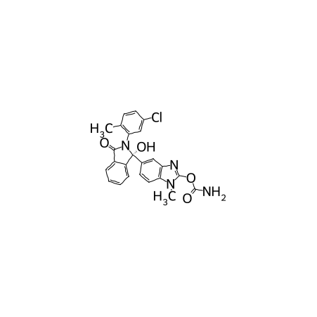 Cc1ccc(Cl)cc1N1C(=O)c2ccccc2[C@]1(O)c1ccc2c(c1)nc(OC(N)=O)n2C